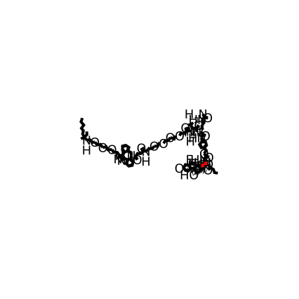 CCCCCCC(C)(CC)NCCOCCOCCOCCn1nnc2c1-c1ccccc1CN(C(=O)CCC(=O)NCCOCCOCCOCCOCCC(=O)N[C@H](C(=O)N[C@@H](CCCNC(N)=O)C(=O)Nc1ccc(COC(=O)NCC(=O)[C@@]34OC(CCC)O[C@@H]3C[C@H]3[C@@H]5C[C@H](F)C6=CC(=O)C=C[C@]6(C)[C@@]5(F)[C@@H](O)C[C@@]34C)cc1)C(C)C)c1ccccc1-2